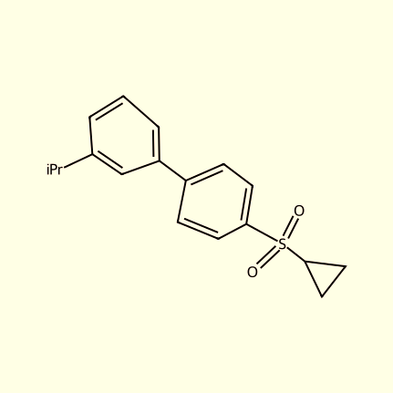 CC(C)c1cccc(-c2ccc(S(=O)(=O)C3CC3)cc2)c1